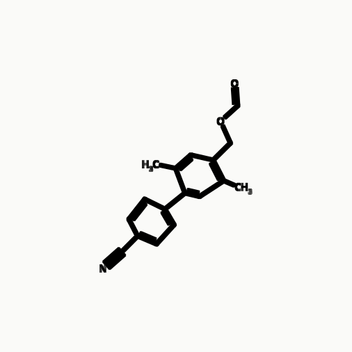 Cc1cc(-c2ccc(C#N)cc2)c(C)cc1COC=O